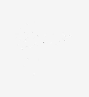 CC(C)OC(=O)OCOc1n/c(=N\c2cc3cn(C)nc3cc2Cl)n(Cc2cc(F)c(F)cc2F)c(=O)n1Cc1ncn(C)n1